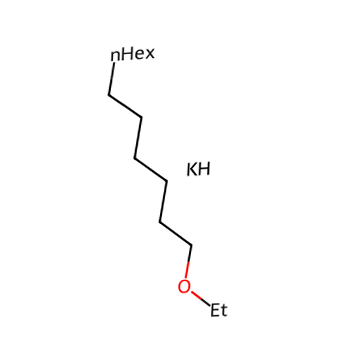 [CH2]COCCCCCCCCCCCC.[KH]